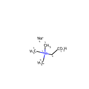 C[N+](C)(C)CC(=O)O.[Na+]